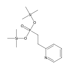 C[Si](C)(C)OP(=O)(CCc1ccccn1)O[Si](C)(C)C